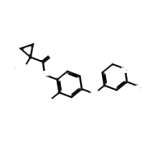 NC1=CC(Oc2ccc(NC(=O)C3(C=O)CC3)c(F)c2)=CCN1